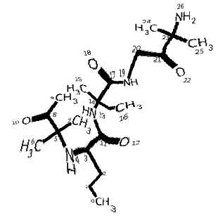 CCCC(NC(C)(C)C(C)=O)C(=O)NC(C)(C)C(=O)NCC(=O)C(C)(C)N